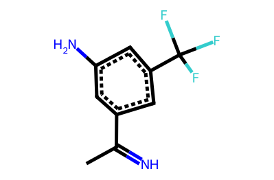 CC(=N)c1cc(N)cc(C(F)(F)F)c1